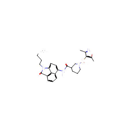 COCCCN1C(=O)c2cccc3c(NC(=O)C4CCCN(S(=O)(=O)c5c(C)noc5C)C4)ccc1c23